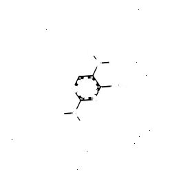 COc1nc(N(C)C)ncc1B(O)O